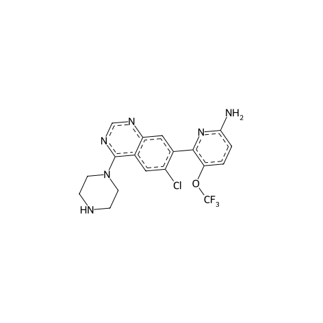 Nc1ccc(OC(F)(F)F)c(-c2cc3ncnc(N4CCNCC4)c3cc2Cl)n1